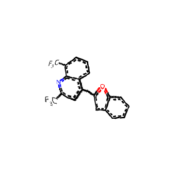 FC(F)(F)c1cc(-c2cc3ccccc3o2)c2cccc(C(F)(F)F)c2n1